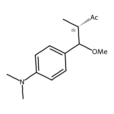 COC(c1ccc(N(C)C)cc1)[C@H](C)C(C)=O